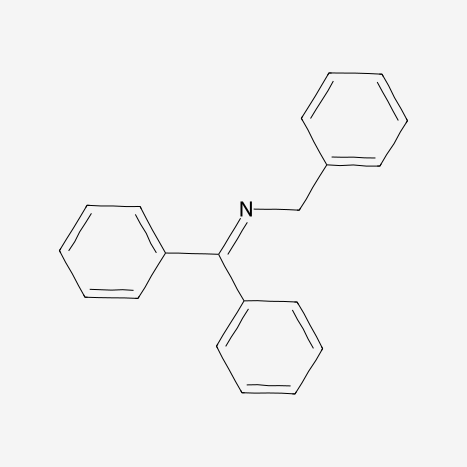 c1ccc(CN=C(c2ccccc2)c2ccccc2)cc1